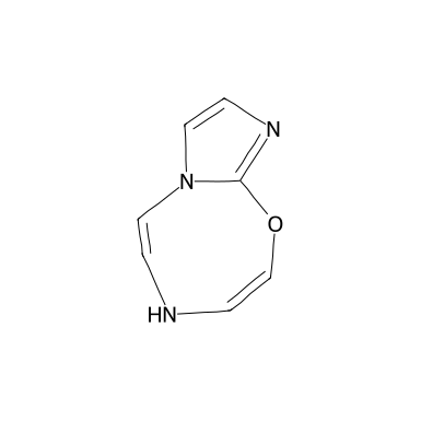 c1cn2cc[nH]ccoc2n1